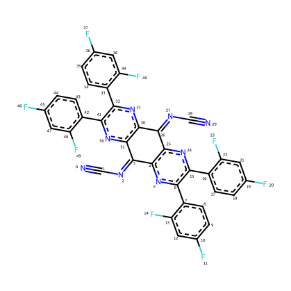 N#CN=C1c2nc(-c3ccc(F)cc3F)c(-c3ccc(F)cc3F)nc2C(=NC#N)c2nc(-c3ccc(F)cc3F)c(-c3ccc(F)cc3F)nc21